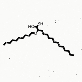 CCCCCCCCCCCCCC(OCCCCCCCCCC)C(O)S